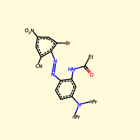 CCCN(CCC)c1ccc(N=Nc2c(Br)cc([N+](=O)[O-])cc2C#N)c(NC(=O)CC)c1